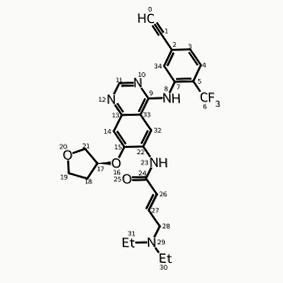 C#Cc1ccc(C(F)(F)F)c(Nc2ncnc3cc(O[C@H]4CCOC4)c(NC(=O)/C=C/CN(CC)CC)cc23)c1